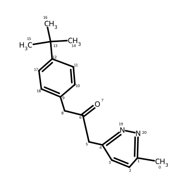 Cc1ccc(CC(=O)Cc2ccc(C(C)(C)C)cc2)nn1